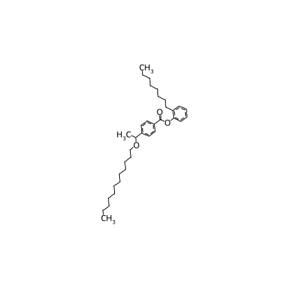 CCCCCCCCCCCCOC(C)c1ccc(C(=O)Oc2ccccc2CCCCCCCC)cc1